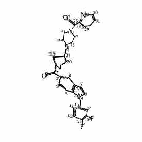 O=C(c1ccc2c(ccn2-c2ccc(F)c(F)c2)c1)N1CC(N2CCN(C(=O)c3nccs3)CC2)C1